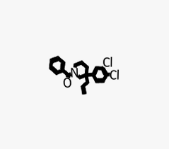 C=CCC1(c2ccc(Cl)c(Cl)c2)CCCN(C(=O)c2ccccc2)C1